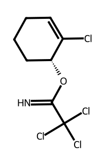 N=C(O[C@@H]1CCCC=C1Cl)C(Cl)(Cl)Cl